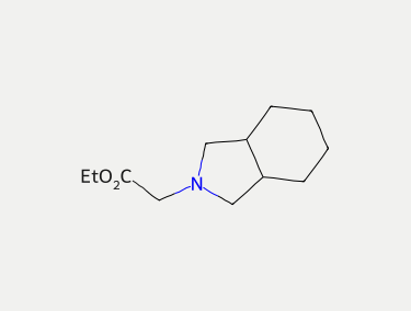 CCOC(=O)CN1CC2CCCCC2C1